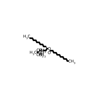 CCCCCCCCCCCC(=O)O[C@H](CCCCCCCCCCC)CCO[Si](C)(C)C(C)(C)C